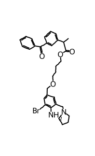 CC(C(=O)OCCCCOCc1cc(Br)c(N)c(CN2CCCC2)c1)c1cccc(C(=O)c2ccccc2)c1